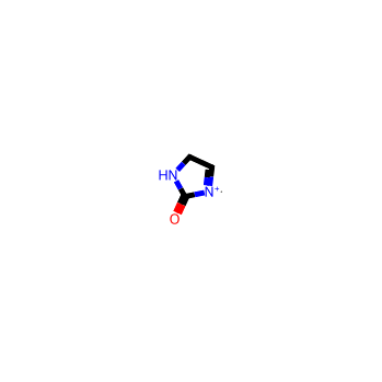 O=C1[N+]=CCN1